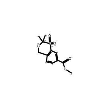 COC(=O)c1ccc2c(c1)S(=O)(=O)C(C)(C)OC2